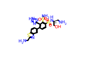 NCc1nc2cc(-c3ccc(S(=O)(=O)N[C@@H](CN)CO)c(S(N)(=O)=O)c3-c3nn[nH]n3)ccc2s1